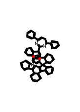 C1=C(c2ccccc2)N=C(c2ccc(-n3c4ccccc4c4c5ccccc5c5c(c43)C3(c4ccccc4-c4ccccc43)c3ccccc3-5)c3ccccc23)N=C(c2ccccc2)C1